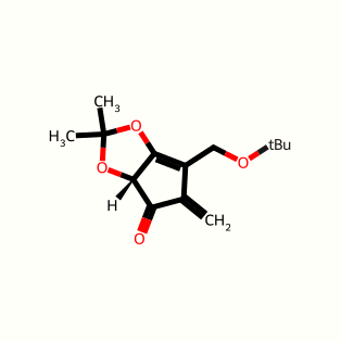 C=C1C(=O)[C@@H]2OC(C)(C)OC2=C1COC(C)(C)C